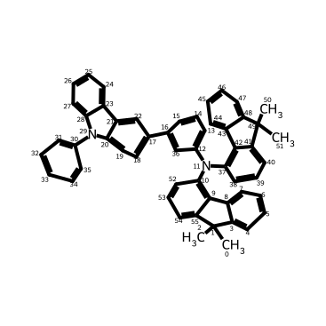 CC1(C)c2ccccc2-c2c(N(c3cccc(-c4ccc5c(c4)c4ccccc4n5-c4ccccc4)c3)c3cccc4c3-c3ccccc3C4(C)C)cccc21